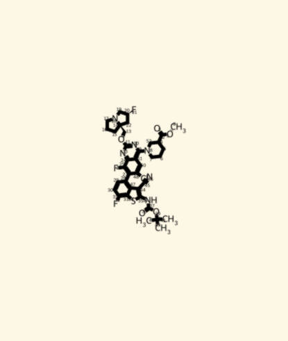 COC(=O)C1CCCN(c2nc(OC[C@@]34CCCN3C[C@H](F)C4)nc3c(F)c(-c4ccc(F)c5sc(NC(=O)OC(C)(C)C)c(C#N)c45)c(Cl)cc23)C1